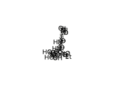 CCC(=O)OCc1ccc(O[C@@H]2O[C@H](CO)[C@H](O)[C@H](O)[C@H]2O)c(NC(=O)CCNC(=O)CCCCCN2C(=O)C=CC2=O)c1